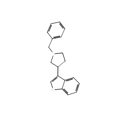 c1ccc(CN2CCC(c3c[nH]c4ccccc34)C2)cc1